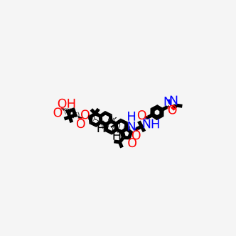 Cc1nnc(-c2ccc(C(=O)NC(C)(C)C(=O)N[C@@]34CC[C@]5(C)[C@H](CC[C@@H]6[C@@]7(C)CC[C@H](OC(=O)[C@H]8C[C@@H](C(=O)O)C8(C)C)C(C)(C)C7CC[C@]65C)C3=C(C(C)C)C(=O)C4)cc2)o1